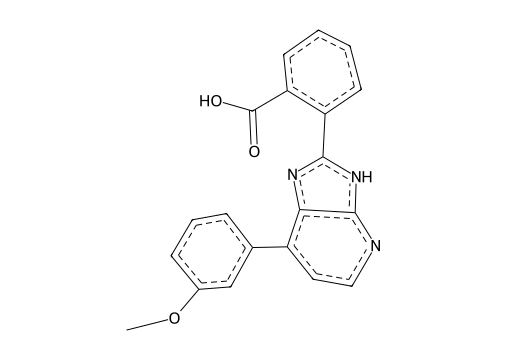 COc1cccc(-c2ccnc3[nH]c(-c4ccccc4C(=O)O)nc23)c1